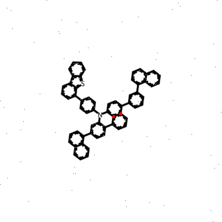 c1ccc(-c2ccc(-c3cccc4ccccc34)cc2N(c2ccc(-c3cccc(-c4cccc5ccccc45)c3)cc2)c2ccc(-c3cccc4c3sc3ccccc34)cc2)cc1